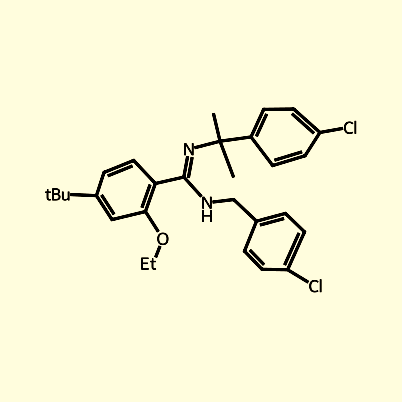 CCOc1cc(C(C)(C)C)ccc1/C(=N/C(C)(C)c1ccc(Cl)cc1)NCc1ccc(Cl)cc1